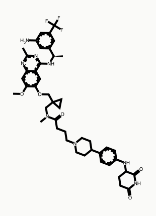 COc1cc2nc(C)nc(N[C@H](C)c3cc(N)cc(C(F)(F)F)c3)c2cc1OCC1(CN(C)C(=O)CCCN2CCC(c3ccc(NC4CCC(=O)NC4=O)cc3)CC2)CC1